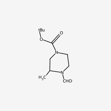 CC1CN(C(=O)OC(C)(C)C)CCN1[C]=O